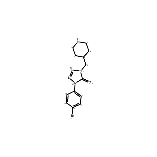 O=c1n(CC2CCNCC2)nnn1-c1ccc(Br)cc1